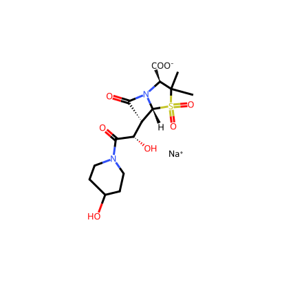 CC1(C)[C@H](C(=O)[O-])N2C(=O)[C@@H]([C@H](O)C(=O)N3CCC(O)CC3)[C@H]2S1(=O)=O.[Na+]